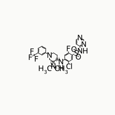 CN(C)[C@H]1CN(c2cccc(C(F)(F)F)c2)CC[C@@H]1Nc1cc(F)c(S(=O)(=O)Nc2ccncn2)cc1Cl